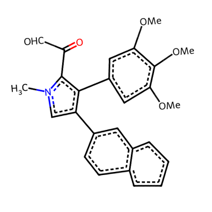 COc1cc(-c2c(-c3ccc4ccccc4c3)cn(C)c2C(=O)C=O)cc(OC)c1OC